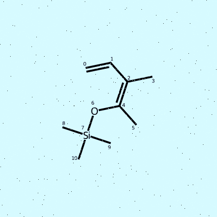 C=CC(C)=C(C)O[Si](C)(C)C